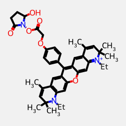 CCN1c2cc3c(cc2C(C)=CC1(C)C)C(c1ccc(OCC(=O)ON2C(=O)CCC2O)cc1)=c1cc2c(cc1O3)=[N+](CC)C(C)(C)C=C2C